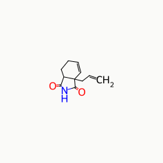 C=CCC12C=CCCC1C(=O)NC2=O